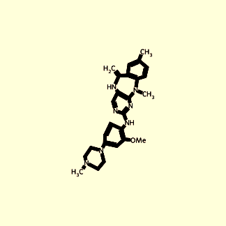 C=C1Nc2cnc(Nc3ccc(N4CCN(C)CC4)cc3OC)nc2N(C)c2ccc(C)cc21